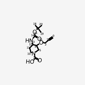 C#CCOC1CN(C(=O)O)CCC1NC(=O)OC(C)(C)C